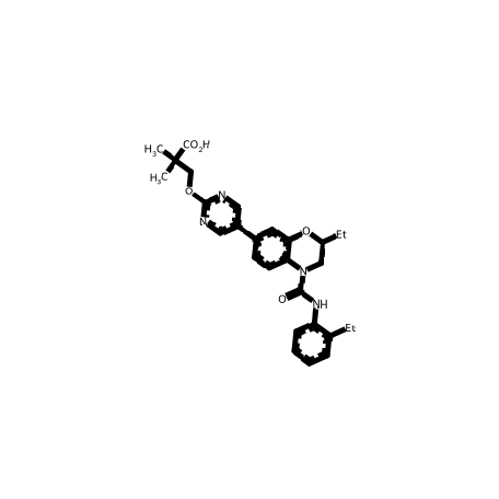 CCc1ccccc1NC(=O)N1CC(CC)Oc2cc(-c3cnc(OCC(C)(C)C(=O)O)nc3)ccc21